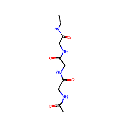 CCNC(=O)CNC(=O)CNC(=O)CNC(C)=O